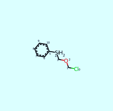 ClCOC[SiH2]c1ccccc1